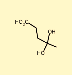 CC(O)(O)CCC(=O)O